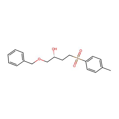 Cc1ccc(S(=O)(=O)CC[C@@H](O)COCc2ccccc2)cc1